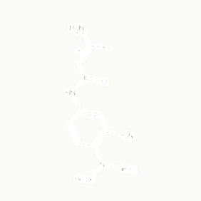 CCCCCCN(CCCCCC)c1ccc(NC(=O)/C=C(\C)N)cc1C#N